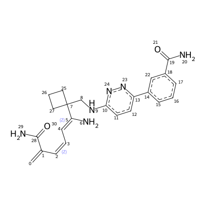 C=C(/C=C\C=C(/N)C1(CNc2ccc(-c3cccc(C(N)=O)c3)nn2)CCC1)C(N)=O